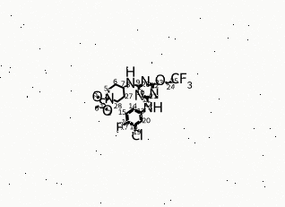 CS(=O)(=O)N1CCC(Nc2nc(Nc3ccc(F)c(Cl)c3)nc(OCC(F)(F)F)n2)CC1